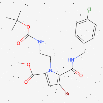 COC(=O)c1cc(Br)c(C(=O)NCc2ccc(Cl)cc2)n1CCNC(=O)OC(C)(C)C